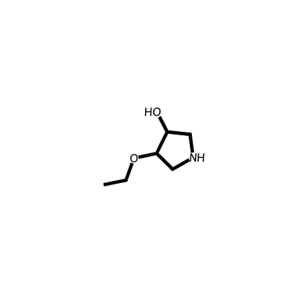 CCOC1CNCC1O